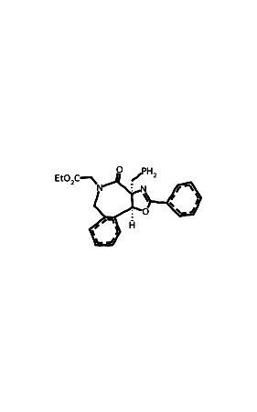 CCOC(=O)CN1Cc2ccccc2[C@@H]2OC(c3ccccc3)=N[C@]2(CP)C1=O